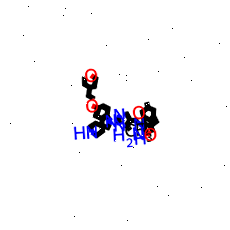 CC1CC2CC(C)C(NC(=O)c3cnc(N4CC5(CCNCC5)c5cc(OCCC6CCOCC6)ccc54)nc3C(F)(F)F)(C(N)=O)C(C1)C2